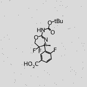 CC(C)(C)OC(=O)NC1=N[C@](C)(c2cc(C(=O)O)ccc2F)C(F)(F)CO1